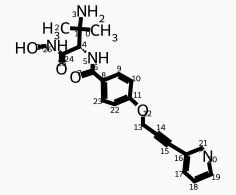 CC(C)(N)[C@H](NC(=O)c1ccc(OCC#Cc2cccnc2)cc1)C(=O)NO